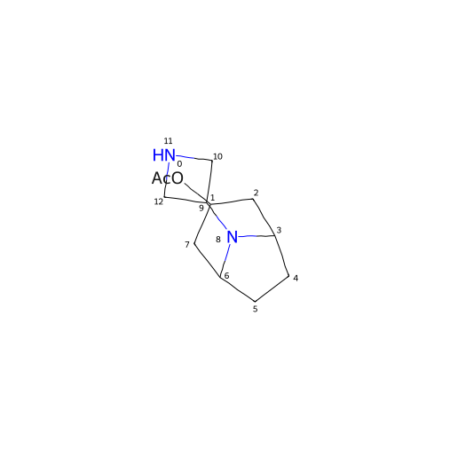 CC(=O)OC1CC2CCC(C1)N2C1CNC1